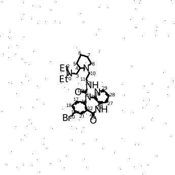 CCN(CC)CC1CCCCN1CCNC(=O)N1c2ccc(Br)cc2C(=O)Nc2cccnc21